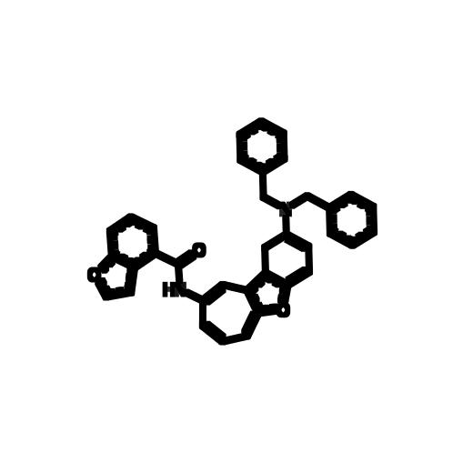 O=C(NC1=Cc2c3c(oc2=CC=C1)=CC=C(N(Cc1ccccc1)Cc1ccccc1)C3)c1cccc2occc12